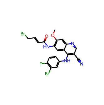 COc1cc2ncc(C#N)c(Nc3ccc(F)c(Br)c3)c2cc1NC(=O)C=CCBr